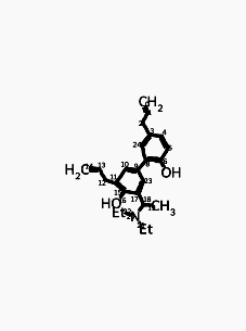 C=CCc1ccc(O)c(-c2cc(CC=C)c(O)c(C(C)N(CC)CC)c2)c1